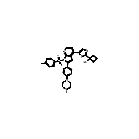 Cc1ccc(S(=O)(=O)n2c(-c3ccc(N4CCNCC4)cc3)cc3c(-c4cnc(C5(O)CCC5)s4)ccnc32)cc1